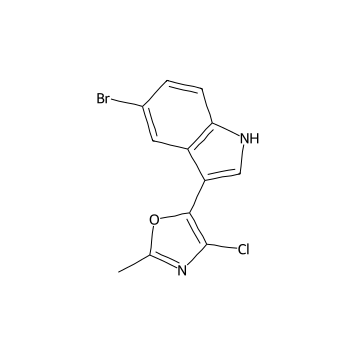 Cc1nc(Cl)c(-c2c[nH]c3ccc(Br)cc23)o1